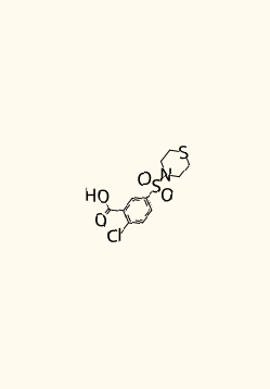 O=C(O)c1cc(S(=O)(=O)N2CCSCC2)ccc1Cl